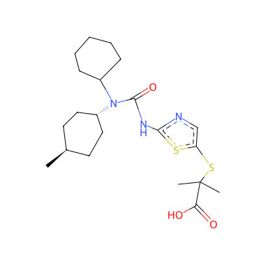 CC(C)(Sc1cnc(NC(=O)N(C2CCCCC2)[C@H]2CC[C@H](C)CC2)s1)C(=O)O